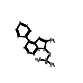 CC1=Cc2c(-c3ccccc3)cccc2[CH]1[Ti][SiH](C)C